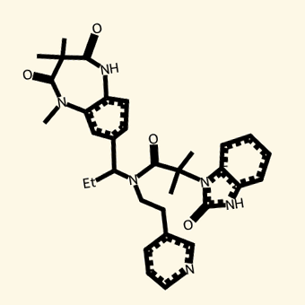 CCC(c1ccc2c(c1)N(C)C(=O)C(C)(C)C(=O)N2)N(CCc1cccnc1)C(=O)C(C)(C)n1c(=O)[nH]c2ccccc21